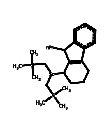 CCCC1C2=C(CCC[CH]2[Sc]([CH2][Si](C)(C)C)[CH2][Si](C)(C)C)c2ccccc21